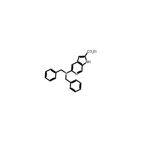 CCOC(=O)c1cc2cc(N(Cc3ccccc3)Cc3ccccc3)ncc2[nH]1